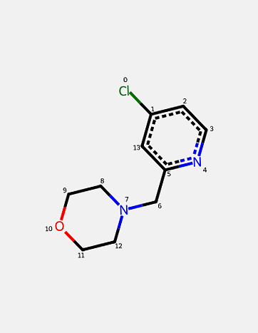 Clc1ccnc(CN2CCOCC2)c1